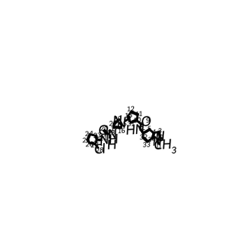 Cn1ncc2cc(NC(=O)c3cccc(-n4cc(NC(=O)Nc5ccccc5Cl)cn4)c3)ccc21